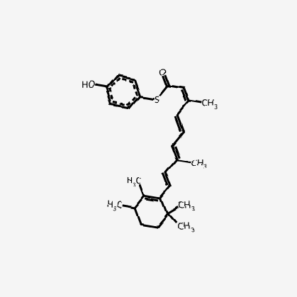 CC1=C(/C=C/C(C)=C/C=C/C(C)=C\C(=O)Sc2ccc(O)cc2)C(C)(C)CCC1C